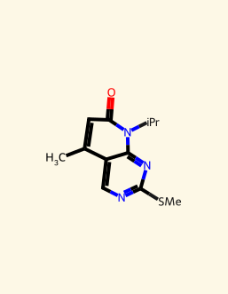 CSc1ncc2c(C)cc(=O)n(C(C)C)c2n1